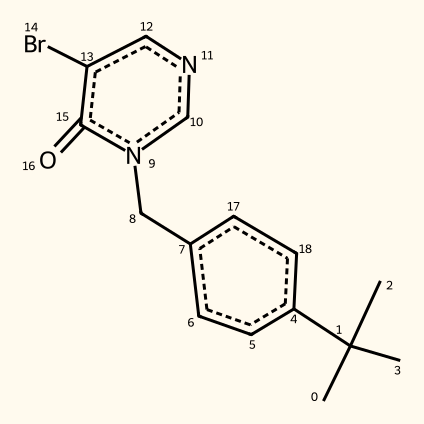 CC(C)(C)c1ccc(Cn2cncc(Br)c2=O)cc1